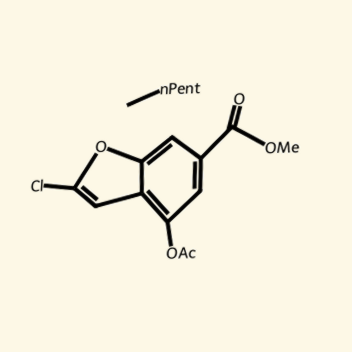 CCCCCC.COC(=O)c1cc(OC(C)=O)c2cc(Cl)oc2c1